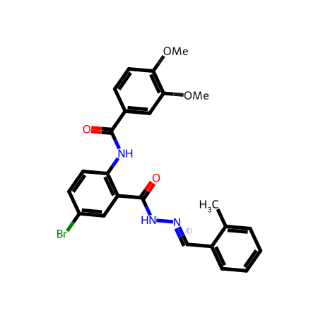 COc1ccc(C(=O)Nc2ccc(Br)cc2C(=O)N/N=C/c2ccccc2C)cc1OC